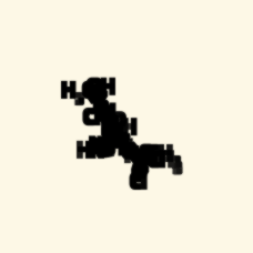 CC1(C)CC(c2ccc(Cl)cc2)=C(CN2CCN(c3ccc(C(=O)NS(=O)(=O)c4cnc(OC[C@H]5CC[C@@](C)(O)CC5)c(Cl)c4)c(Oc4cccc5[nH]ncc45)c3)CC2)CO1